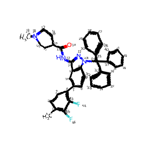 Cc1ccc(-c2ccc3c(c2)c(NC(=O)C2CCN(C)CC2)nn3C(c2ccccc2)(c2ccccc2)c2ccccc2)c(F)c1F